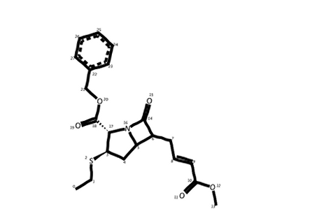 CCS[C@@H]1CC2C(CC=CC(=O)OC)C(=O)N2[C@H]1C(=O)OCc1ccccc1